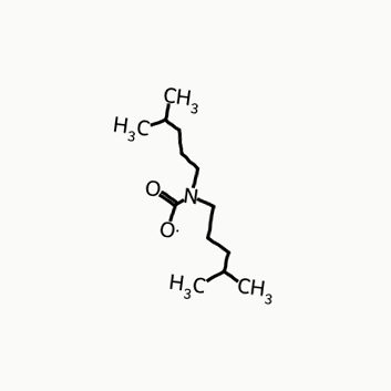 CC(C)CCCN(CCCC(C)C)C([O])=O